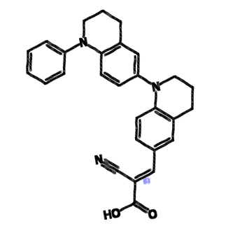 N#C/C(=C\c1ccc2c(c1)CCCN2c1ccc2c(c1)CCCN2c1ccccc1)C(=O)O